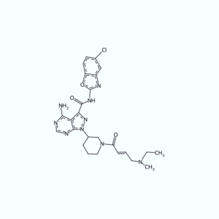 CCN(C)CC=CC(=O)N1CCCC(n2nc(C(=O)Nc3nc4cc(Cl)ccc4o3)c3c(N)ncnc32)C1